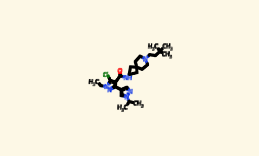 CCn1nc(-c2cnn(C(C)C)c2)c(C(=O)NC2CC3(CCN(CCC(C)(C)C)CC3)C2)c1Cl